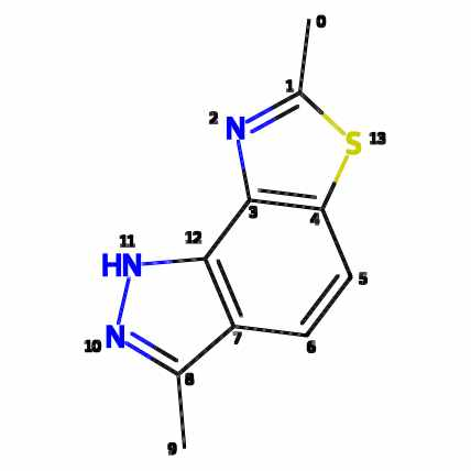 Cc1nc2c(ccc3c(C)n[nH]c32)s1